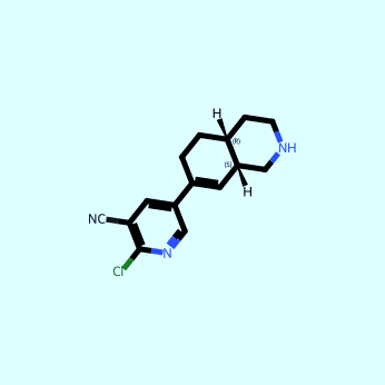 N#Cc1cc(C2=C[C@H]3CNCC[C@H]3CC2)cnc1Cl